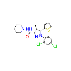 C[C@@H]1C(C(=O)NN2CCCCC2)=NN(c2ccc(Cl)cc2Cl)[C@H]1c1cccs1